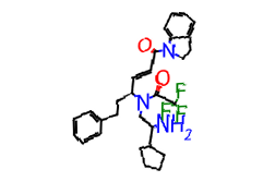 N[C@H](CN(C(=O)C(F)(F)F)[C@H](/C=C/C(=O)N1CCc2ccccc21)CCc1ccccc1)C1CCCC1